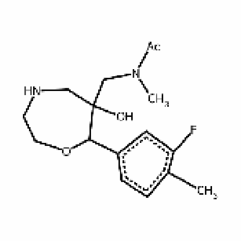 CC(=O)N(C)CC1(O)CNCCOC1c1ccc(C)c(F)c1